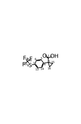 O=C(O)C1(c2ccc(SC(F)(F)F)cc2)CC1